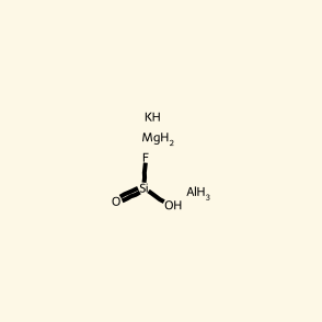 O=[Si](O)F.[AlH3].[KH].[MgH2]